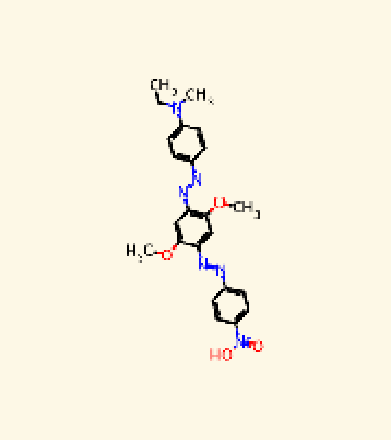 CCN(C)c1ccc(/N=N/c2cc(OC)c(/N=N/c3ccc([N+](=O)O)cc3)cc2OC)cc1